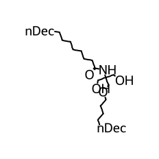 CCCCCCCCCCCCCCCCCC(=O)NC(CO)(CO)COCCCCCCCCCCCCCC